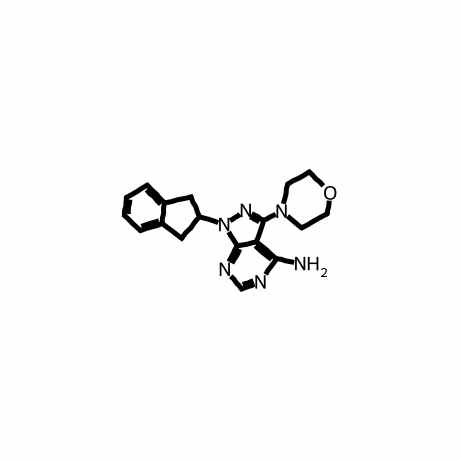 Nc1ncnc2c1c(N1CCOCC1)nn2C1Cc2ccccc2C1